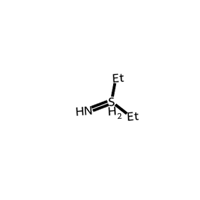 CC[SH2](=N)CC